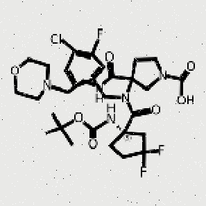 CC(C)(C)OC(=O)N[C@@]1(C(=O)N(Cc2ccc(Cl)c(F)c2)C2(C(=O)NCCN3CCOCC3)CCN(C(=O)O)C2)CCC(F)(F)C1